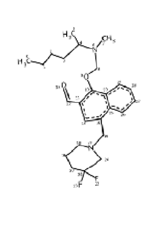 CCCCC(C)N(C)COc1c(C=O)cc(CN2CCCC(F)(F)C2)c2ccccc12